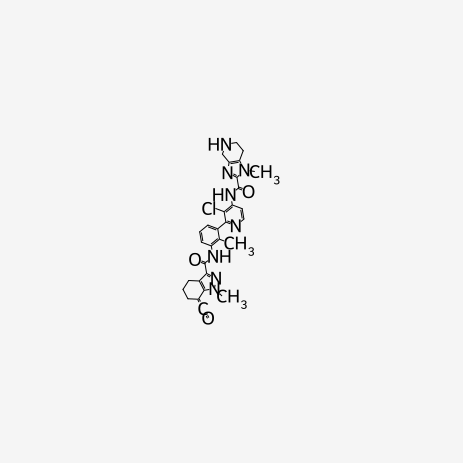 Cc1c(NC(=O)c2nn(C)c3c2CCCC3=C=O)cccc1-c1nccc(NC(=O)c2nc3c(n2C)CCNC3)c1Cl